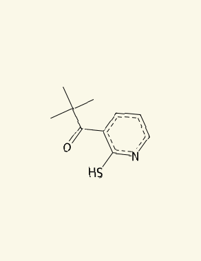 CC(C)(C)C(=O)c1cccnc1S